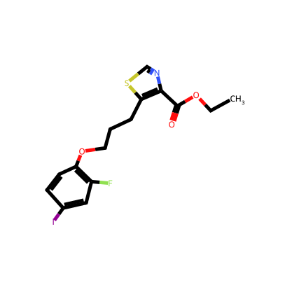 CCOC(=O)c1ncsc1CCCOc1ccc(I)cc1F